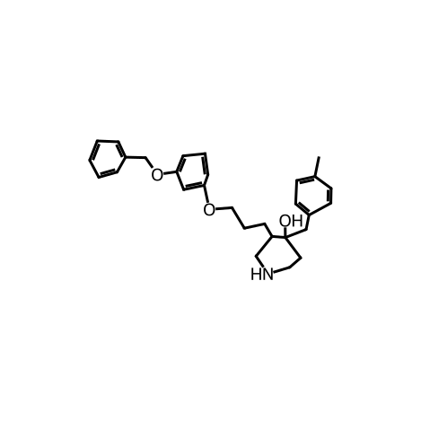 Cc1ccc(CC2(O)CCNCC2CCCOc2cccc(OCc3ccccc3)c2)cc1